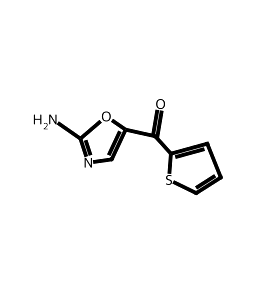 Nc1ncc(C(=O)c2cccs2)o1